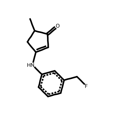 CC1CC(Nc2cccc(CF)c2)=CC1=O